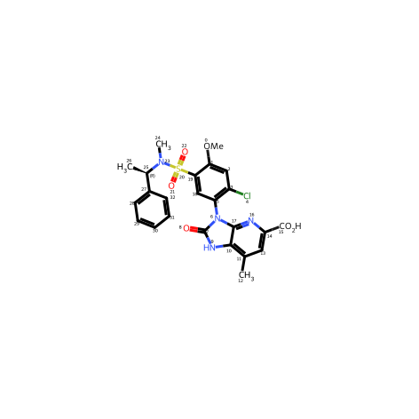 COc1cc(Cl)c(-n2c(=O)[nH]c3c(C)cc(C(=O)O)nc32)cc1S(=O)(=O)N(C)[C@H](C)c1ccccc1